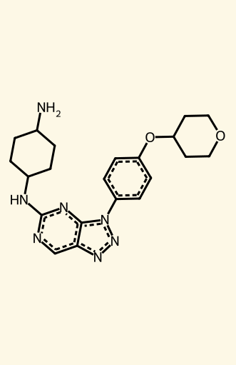 NC1CCC(Nc2ncc3nnn(-c4ccc(OC5CCOCC5)cc4)c3n2)CC1